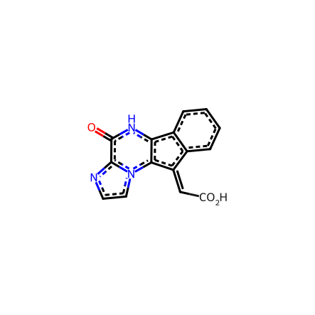 O=C(O)C=c1c2ccccc2c2[nH]c(=O)c3nccn3c12